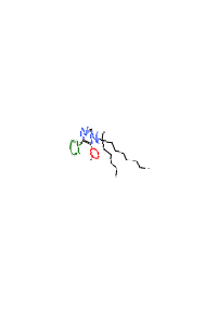 CCCCCCCC(C)(CCCCC)n1cnc(Cl)c1OC